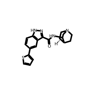 O=C(N[C@H]1CN2CCC1CC2)c1n[nH]c2ccc(-c3cccs3)cc12